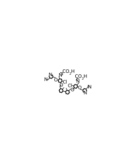 C/N=C/c1cncc(COc2cc(OCc3cccc(-c4cccc(COc5cc(OCc6cncc(C7C=N7)c6)c(CN6CC(C(=O)O)C6)cc5Cl)c4C)c3C)c(Cl)cc2CN2CC(C(=O)O)C2)c1